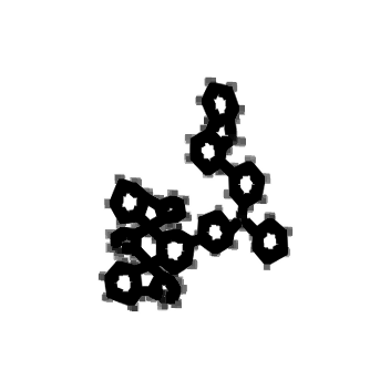 c1ccc(N(c2ccc(-c3ccc4c(c3)C3(c5ccccc5-c5ccccc53)c3ccccc3C43c4ccccc4-c4ccccc43)cc2)c2cccc(-c3cccc4c3sc3ccccc34)c2)cc1